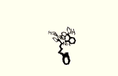 O=C(NO)C(CCCc1ccccc1)NC(=O)C1CCCCC1C(=O)O